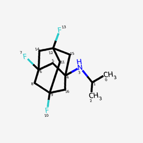 CC(C)NC12CC3(F)CC(F)(CC(F)(C3)C1)C2